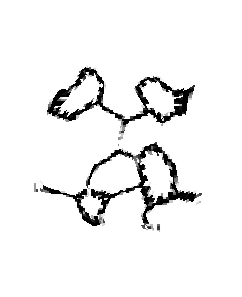 CCc1cnc2n1C[C@H](C(c1ccccc1)c1ccccc1)n1ccc(=O)c(O)c1-2